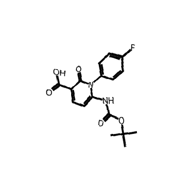 CC(C)(C)OC(=O)Nc1ccc(C(=O)O)c(=O)n1-c1ccc(F)cc1